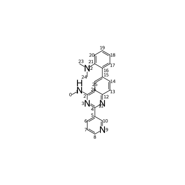 CNc1nc(-c2cccnc2)nc2ccc(-c3ccccc3N(C)C)cc12